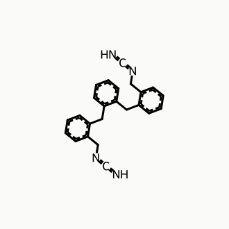 N=C=NCc1ccccc1Cc1ccccc1Cc1ccccc1CN=C=N